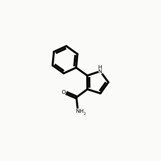 NC(=O)c1cc[nH]c1-c1ccccc1